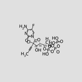 CC#CC1(Cl)[C@@H](O)[C@@H]([C@H](C)OP(=O)(O)OP(=O)(O)OP(=O)(O)O)O[C@H]1n1cc(F)c(N)nc1=O